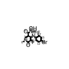 Cn1cc(C(=O)NO)c(Nc2ccc(Br)cc2F)c(F)c1=O